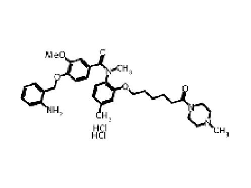 COc1cc(C(=O)N(C)c2ccc(C)cc2OCCCCCC(=O)N2CCN(C)CC2)ccc1OCc1ccccc1N.Cl.Cl